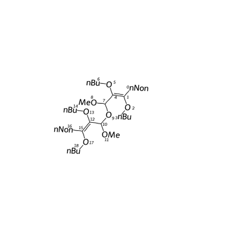 CCCCCCCCCC(OCCCC)=C(OCCCC)C(OC)OC(OC)C(OCCCC)=C(CCCCCCCCC)OCCCC